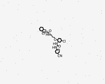 N#Cc1ccc(NC(=O)Nc2cc(Cl)ccc2OCCCNC(=O)NCc2ccccc2Cl)nc1